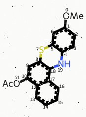 COc1ccc2c(c1)Sc1cc(OC(C)=O)c3ccccc3c1N2